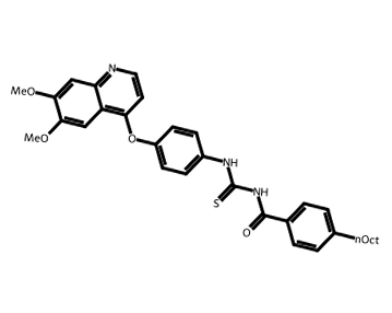 CCCCCCCCc1ccc(C(=O)NC(=S)Nc2ccc(Oc3ccnc4cc(OC)c(OC)cc34)cc2)cc1